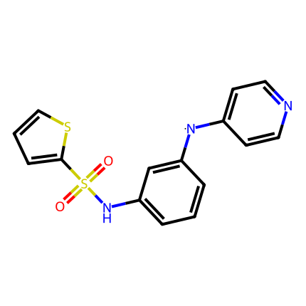 O=S(=O)(Nc1cccc([N]c2ccncc2)c1)c1cccs1